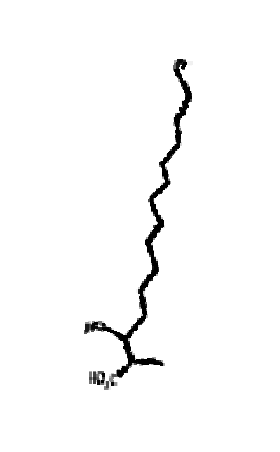 CC(C)CCCCCCCCCCCC(O)[C@@H](C)C(=O)O